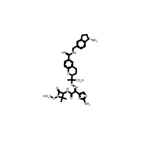 CC(O[As]=C(C(=O)NC1C(=O)N(OS(=O)(=O)O)C1(C)C)c1csc(N)n1)(C(=O)O)C1CCc2cc(C(=N)NCc3ccc4c(c3)CC[C@@H]4N)ccc2O1